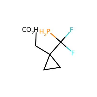 O=C(O)CC1(C(F)(F)P)CC1